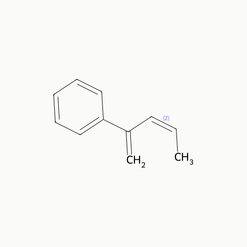 C=C(/C=C\C)c1ccccc1